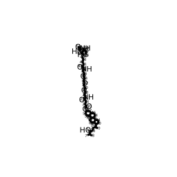 CC(CC[C@H](O)C(C)C)C1CCC2C3CC=C4C[C@@H](OC(=O)CCC(=O)NCCOCCOCCOCCNC(=O)CCCC[C@@H]5SC[C@@H]6NC(=O)N[C@@H]65)CC[C@]4(C)C3CC[C@]12C